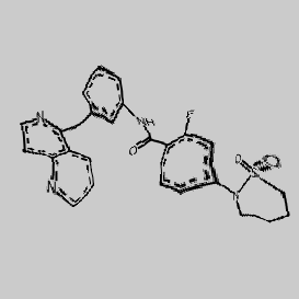 O=C(Nc1cccc(-c2nccc3ncccc23)c1)c1ccc(N2CCCCS2(=O)=O)cc1F